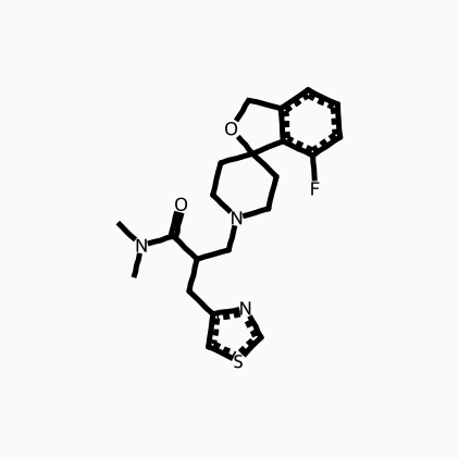 CN(C)C(=O)C(Cc1cscn1)CN1CCC2(CC1)OCc1cccc(F)c12